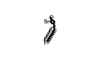 O=Cc1ccc(SCCC(F)(F)C(F)(F)C(F)(F)C(F)(F)C(F)(F)C(F)(F)C(F)(F)C(F)(F)F)cc1Br